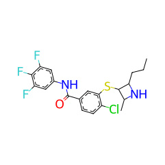 CCCC1NC(C)C1Sc1cc(C(=O)Nc2cc(F)c(F)c(F)c2)ccc1Cl